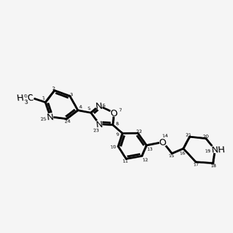 Cc1ccc(-c2noc(-c3cccc(OCC4CCNCC4)c3)n2)cn1